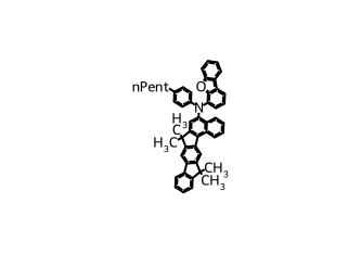 CCCCCc1ccc(N(c2cc3c(c4ccccc24)-c2cc4c(cc2C3(C)C)-c2ccccc2C4(C)C)c2cccc3c2oc2ccccc23)cc1